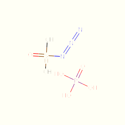 C[SH](C)(=O)N=[N+]=[N-].O=P(O)(O)O